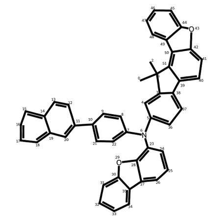 CC1(C)c2cc(N(c3ccc(-c4ccc5ccccc5c4)cc3)c3cccc4c3oc3ccccc34)ccc2-c2ccc3oc4ccccc4c3c21